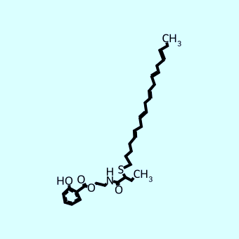 CCC=CCC=CCC=CCC=CCC=CCCCCSC(CC)C(=O)NCCOC(=O)c1ccccc1O